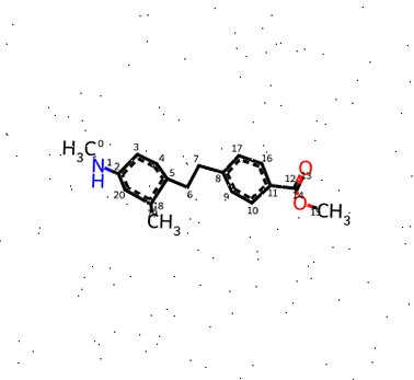 CNc1ccc(CCc2ccc(C(=O)OC)cc2)c(C)c1